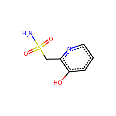 NS(=O)(=O)Cc1ncccc1O